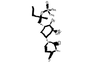 CCC(C)(C[C@H]1C[C@@H](n2ccc(=O)[nH]c2=O)[C@H](O)[C@@H]1O)OP(=O)(O)O